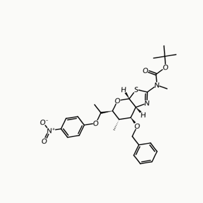 CC(Oc1ccc([N+](=O)[O-])cc1)[C@H]1O[C@@H]2SC(N(C)C(=O)OC(C)(C)C)=N[C@@H]2[C@@H](OCc2ccccc2)[C@@H]1C